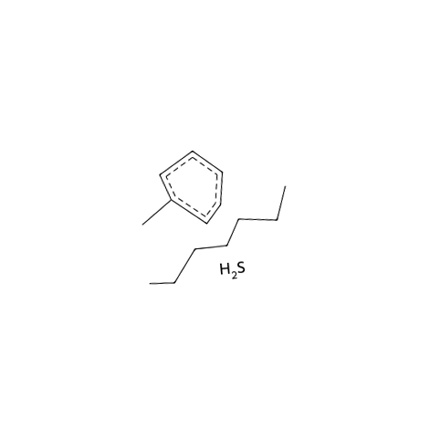 CCCCCCC.Cc1ccccc1.S